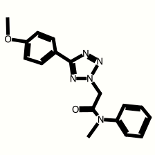 COc1ccc(-c2nnn(CC(=O)N(C)c3ccccc3)n2)cc1